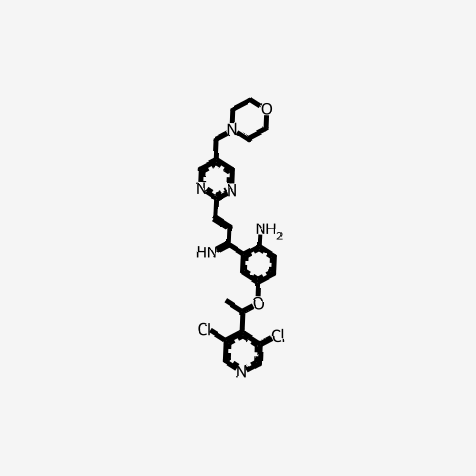 CC(Oc1ccc(N)c(C(=N)/C=C/c2ncc(CN3CCOCC3)cn2)c1)c1c(Cl)cncc1Cl